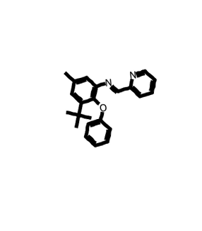 Cc1cc(N=Cc2ccccn2)c(Oc2ccccc2)c(C(C)(C)C)c1